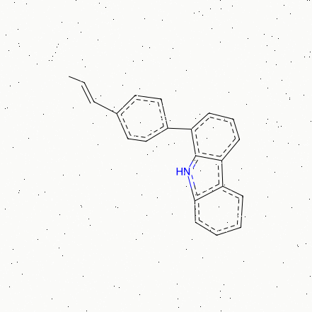 CC=Cc1ccc(-c2cccc3c2[nH]c2ccccc23)cc1